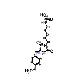 CCc1ccc(/C=C2\SC(=O)N(CCOCCNC(=O)O)C2=O)cc1